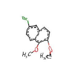 COc1ccc2cc(Br)ccc2c1OC